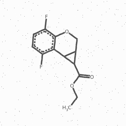 CCOC(=O)C1C2COc3c(F)ccc(F)c3C21